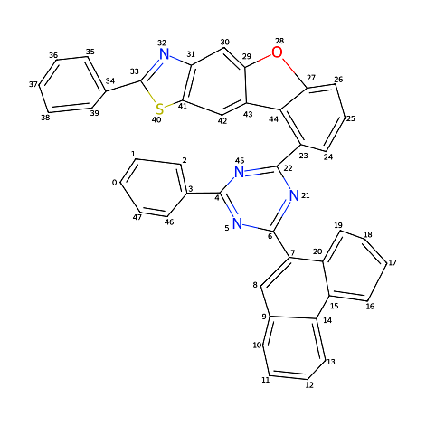 c1ccc(-c2nc(-c3cc4ccccc4c4ccccc34)nc(-c3cccc4oc5cc6nc(-c7ccccc7)sc6cc5c34)n2)cc1